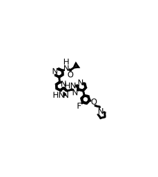 O=C(Nc1cncc(-c2ccc3[nH]nc(-c4nc5c(-c6cc(F)cc(OCCN7CCCC7)c6)ccnc5[nH]4)c3n2)c1)C1CC1